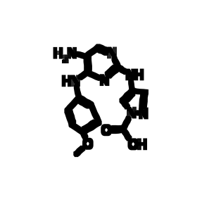 COc1ccc(Nc2nc(Nc3cnn(C(=O)O)c3)ncc2N)cc1